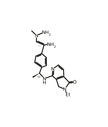 CCN1Cc2c(ccnc2N[C@@H](C)c2ccc(/C(N)=C/N(C)N)cc2)C1=O